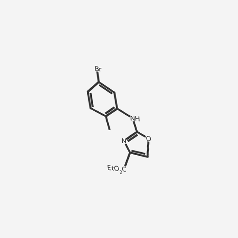 CCOC(=O)c1coc(Nc2cc(Br)ccc2C)n1